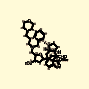 CCCCC1CC(C23C[C@@H]4[C@H](C)CC[C@H]4C4(C=O)CC2C=C(C(C)C)C34C(=O)OC)OC1CN(CCCN1CCOCC1)Cc1ccccn1